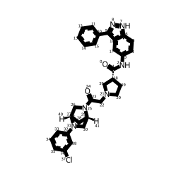 O=C(Nc1ccc2[nH]nc(-c3ccccc3)c2c1)[C@@H]1CCN(CC(=O)N2C[C@@H]3C[C@H]2CN3c2cccc(Cl)c2)C1